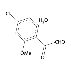 COc1cc(Cl)ccc1C(=O)C=O.O